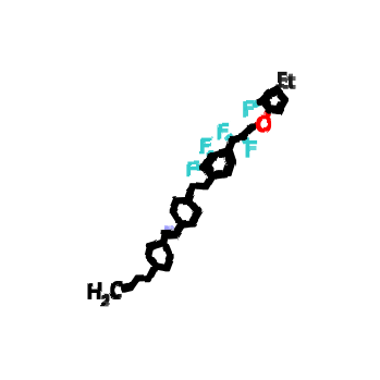 C=CCCC1CCC(/C=C/C2CCC(CCc3ccc(C(F)C(F)COc4ccc(CC)cc4F)c(F)c3F)CC2)CC1